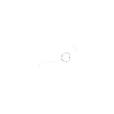 CC(C)OCCOc1ccc(C(C)C(C)C)cc1